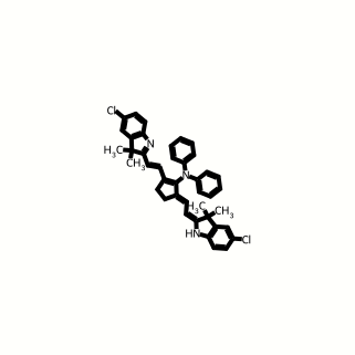 CC1(C)C(/C=C/C2=C(N(c3ccccc3)c3ccccc3)C(=C/C=C3/Nc4ccc(Cl)cc4C3(C)C)/CC2)=Nc2ccc(Cl)cc21